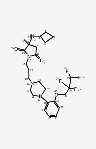 CC1(NC2CCC2)CC(=O)N(CCCN2CCN(c3ccccc3OCC(F)(F)C(F)F)CC2)C1=O